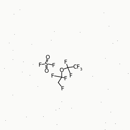 FCC(F)(F)OC(F)(F)C(F)(F)F.O=S(=O)(F)F